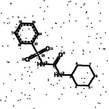 O=C(NC1CCCCC1)NS(=O)(=O)c1ccccc1